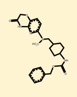 O=C1COc2ccc(N(CC3CCC(NC(=O)OCc4ccccc4)CC3)C(=O)O)nc2N1